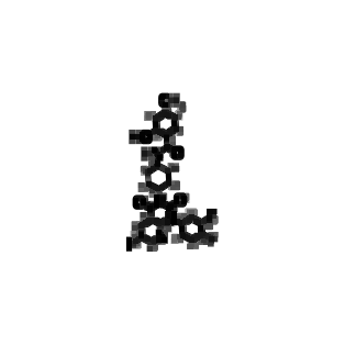 Cc1ccc(C(=O)NC2CCC(n3c(=O)c4cc(F)cnc4n(-c4ccc(F)c(F)c4)c3=O)CC2)c(O)c1